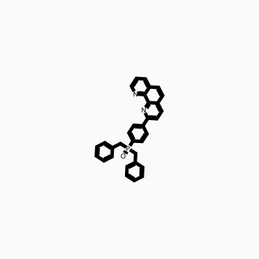 O=P(Cc1ccccc1)(Cc1ccccc1)c1ccc(-c2ccc3ccc4cccnc4c3n2)cc1